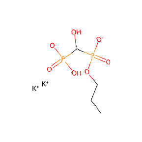 CCCOP(=O)([O-])C(O)P(=O)([O-])O.[K+].[K+]